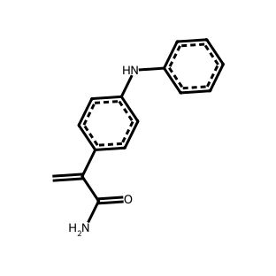 C=C(C(N)=O)c1ccc(Nc2ccccc2)cc1